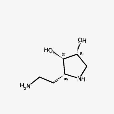 NCC[C@H]1NC[C@@H](O)[C@H]1O